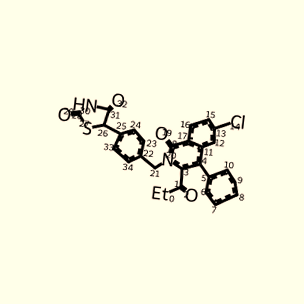 CCC(=O)c1c(-c2ccccc2)c2cc(Cl)ccc2c(=O)n1Cc1ccc(C2SC(=O)NC2=O)cc1